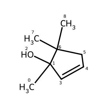 CC1(O)C=CCC1(C)C